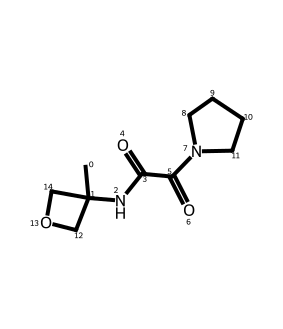 CC1(NC(=O)C(=O)N2CCCC2)COC1